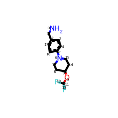 NCc1ccc(N2CCC(OC(F)F)CC2)cc1